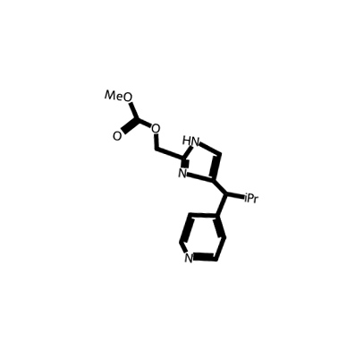 COC(=O)OCc1nc(C(c2ccncc2)C(C)C)c[nH]1